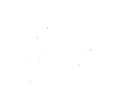 CCCc1nc(-c2ccccc2O)n(CCc2ccccc2)c(=O)c1CC(C)C